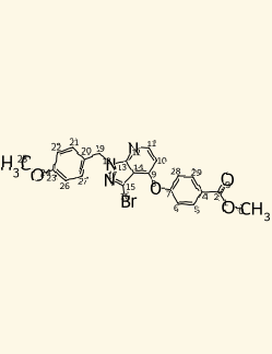 COC(=O)c1ccc(Oc2ccnc3c2c(Br)nn3Cc2ccc(OC)cc2)cc1